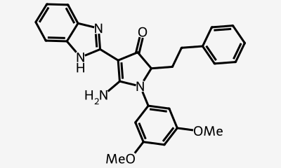 COc1cc(OC)cc(N2C(N)=C(c3nc4ccccc4[nH]3)C(=O)C2CCc2ccccc2)c1